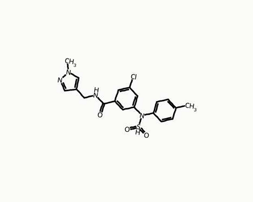 Cc1ccc(N(c2cc(Cl)cc(C(=O)NCc3cnn(C)c3)c2)[SH](=O)=O)cc1